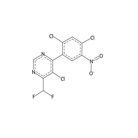 O=[N+]([O-])c1cc(-c2ncnc(C(F)F)c2Cl)c(Cl)cc1Cl